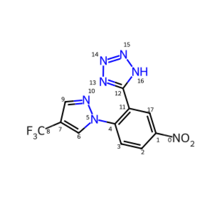 O=[N+]([O-])c1ccc(-n2cc(C(F)(F)F)cn2)c(-c2nnn[nH]2)c1